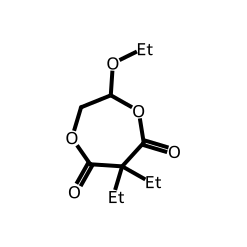 CCOC1COC(=O)C(CC)(CC)C(=O)O1